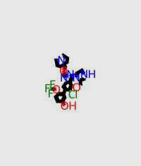 Oc1ccc(OC(F)(F)F)c(-c2cc3nc(OCC45CCCN4CCC5)nc4c3c(c2Cl)OCC2CNCCN42)c1